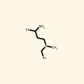 CCC(N)CCN(C)CC(C)=O